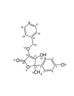 CC1(c2ccc(Cl)cc2)OC(=O)C(OCc2ccccc2)=C1O